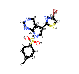 Cc1ccc(S(=O)(=O)n2cc(-c3nc(Br)cs3)c3cncnc32)cc1